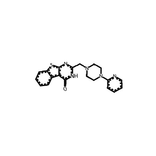 O=c1[nH]c(CN2CCN(c3ccccn3)CC2)nc2sc3ccccc3c12